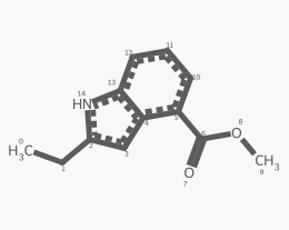 CCc1cc2c(C(=O)OC)cccc2[nH]1